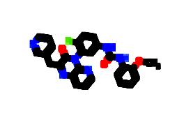 COc1ccccc1NC(=O)Nc1ccc(F)c(-n2c(=O)c(Cc3cccnc3)nc3cccnc32)c1